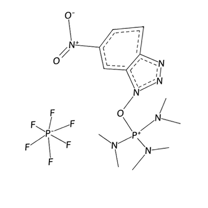 CN(C)[P+](On1nnc2ccc([N+](=O)[O-])cc21)(N(C)C)N(C)C.F[P-](F)(F)(F)(F)F